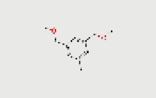 COCc1cc(C)cc(COC)c1